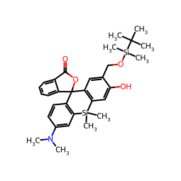 CN(C)c1ccc2c(c1)[Si](C)(C)c1cc(O)c(CO[Si](C)(C)C(C)(C)C)cc1C21OC(=O)c2ccccc21